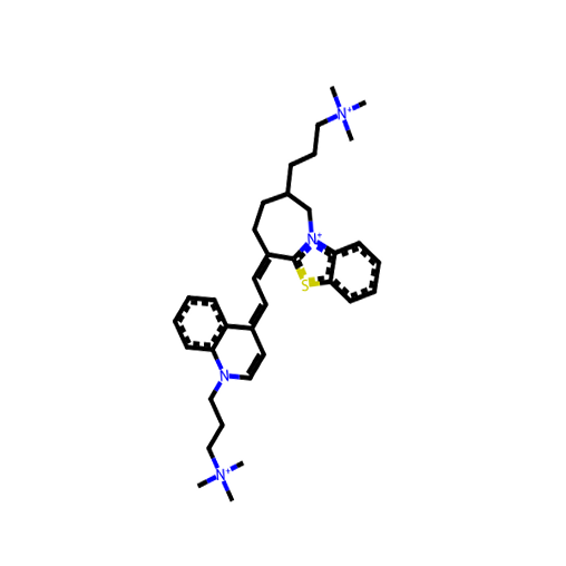 C[N+](C)(C)CCCC1CC/C(=C/C=C2/C=CN(CCC[N+](C)(C)C)c3ccccc32)c2sc3ccccc3[n+]2C1